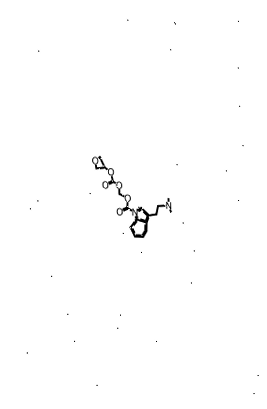 CN(C)CCc1cn(C(=O)OCOC(=O)OC2COC2)c2ccccc12